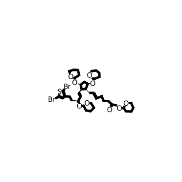 O=C(CCCC=CC[C@@H]1[C@@H](C=C[C@H](CCc2cc(Br)sc2Br)OC2CCCCO2)[C@H](OC2CCCCO2)C[C@@H]1OC1CCCCO1)COC1CCCCO1